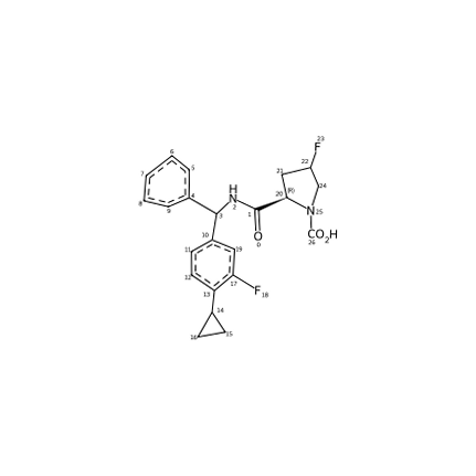 O=C(NC(c1ccccc1)c1ccc(C2CC2)c(F)c1)[C@H]1CC(F)CN1C(=O)O